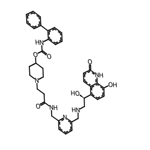 O=C(CCN1CCC(OC(=O)Nc2ccccc2-c2ccccc2)CC1)NCc1cccc(CNC[C@@H](O)c2ccc(O)c3[nH]c(=O)ccc23)n1